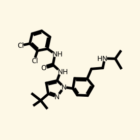 CC(C)NCCc1cccc(-n2nc(C(C)(C)C)cc2NC(=O)Nc2cccc(Cl)c2Cl)c1